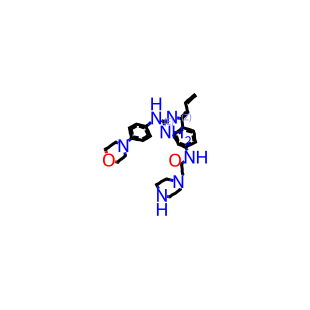 C=C/C=C(\N=C(/N)Nc1ccc(N2CCOCC2)cc1)c1ccc(NC(=O)CN2CCNCC2)cc1